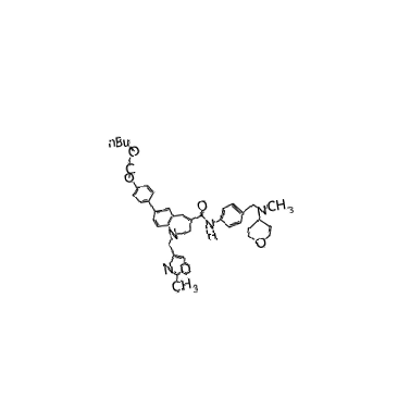 CCCCOCCOc1ccc(-c2ccc3c(c2)C=C(C(=O)Nc2ccc(CN(C)C4CCOCC4)cc2)CCN3Cc2coc(C)n2)cc1